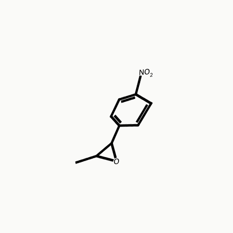 CC1OC1c1ccc([N+](=O)[O-])cc1